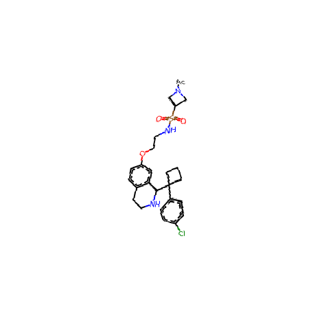 CC(=O)N1CC(S(=O)(=O)NCCOc2ccc3c(c2)C(C2(c4ccc(Cl)cc4)CCC2)NCC3)C1